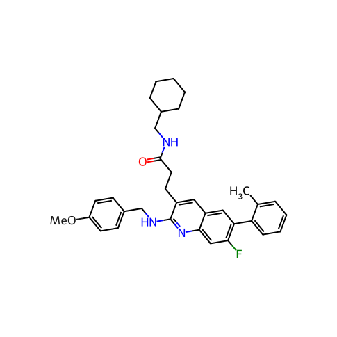 COc1ccc(CNc2nc3cc(F)c(-c4ccccc4C)cc3cc2CCC(=O)NCC2CCCCC2)cc1